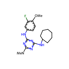 CNc1nc(Nc2ccc(OC)c(F)c2)nc(NC2CCCCCC2)n1